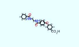 O=C(NCCNC(=O)C1CCCCC1)c1ccc(O[C@H]2CC[C@@H](C(=O)O)CC2)cc1